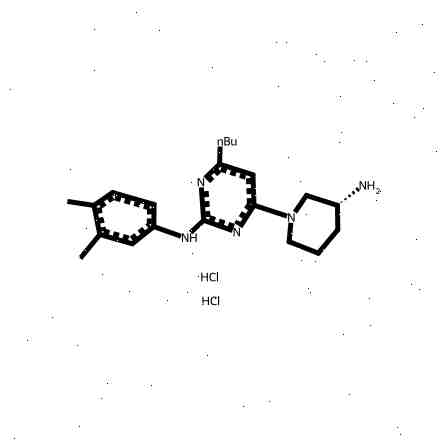 CCCCc1cc(N2CCC[C@@H](N)C2)nc(Nc2ccc(C)c(C)c2)n1.Cl.Cl